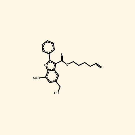 C=CCCCCOC(=O)c1c(-c2ccccc2)oc2c(OC)cc(CO)cc12